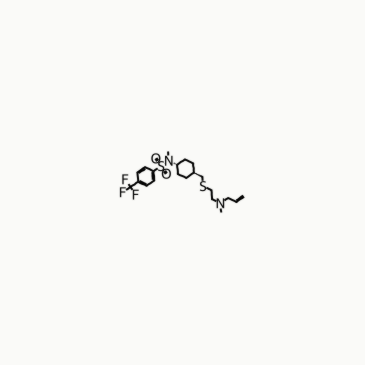 C=CCN(C)CCSC[C@H]1CC[C@H](N(C)S(=O)(=O)c2ccc(C(F)(F)F)cc2)CC1